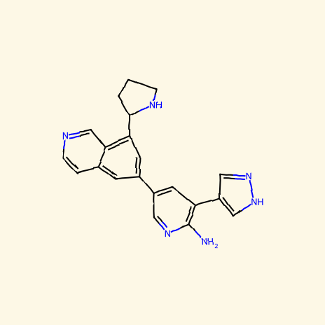 Nc1ncc(-c2cc(C3CCCN3)c3cnccc3c2)cc1-c1cn[nH]c1